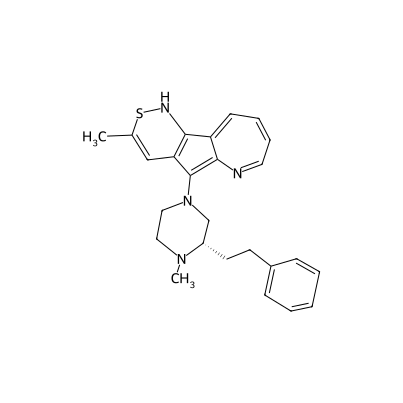 CC1=Cc2c(c3ccccnc-3c2N2CCN(C)[C@@H](CCc3ccccc3)C2)NS1